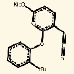 COc1ccc(N=C=S)c(Oc2ccccc2C(C)(C)C)n1